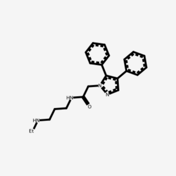 CCNCCCNC(=O)Cn1ncc(-c2ccccc2)c1-c1ccccc1